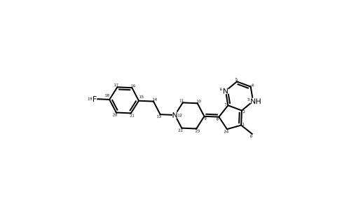 CC1=C2NC=CN=C2C(=C2CCN(CCc3ccc(F)cc3)CC2)C1